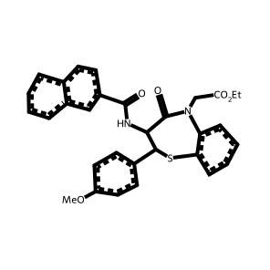 CCOC(=O)CN1C(=O)C(NC(=O)c2ccc3ccccc3c2)C(c2ccc(OC)cc2)Sc2ccccc21